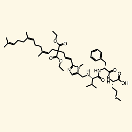 CCOC(=O)C(CC=Cc1ncc(CN[C@H](C(=O)N[C@@H](Cc2ccccc2)C(=O)N[C@@H](CCSC)C(=O)O)C(C)C)n1C)(CC=C(C)CCC=C(C)CCC=C(C)C)C(=O)OCC